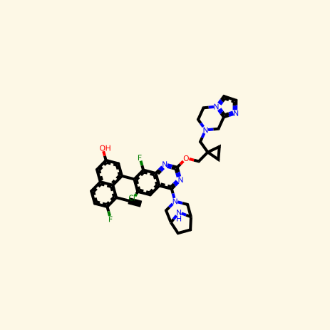 C#Cc1c(F)ccc2cc(O)cc(-c3c(Cl)cc4c(N5CC6CCC(C5)N6)nc(OCC5(CN6CCn7ccnc7C6)CC5)nc4c3F)c12